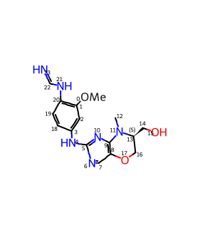 COc1cc(Nc2ncc3c(n2)N(C)[C@@H](CO)CO3)ccc1NC=N